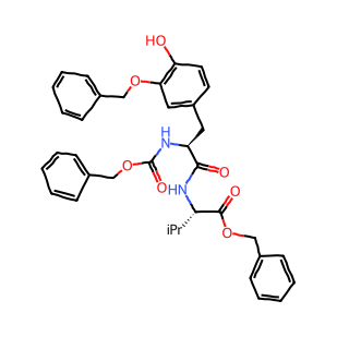 CC(C)[C@H](NC(=O)[C@H](Cc1ccc(O)c(OCc2ccccc2)c1)NC(=O)OCc1ccccc1)C(=O)OCc1ccccc1